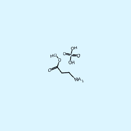 NCCC(=O)OO.O=S(=O)(O)O